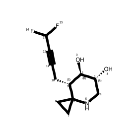 O[C@H]1[C@H](O)CNC2(CC2)[C@@H]1CC#CC(F)F